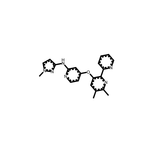 Cc1cc(Oc2ccnc(Nc3ccn(C)n3)c2)c(-c2ccccn2)nc1C